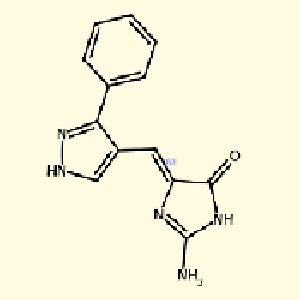 NC1=N/C(=C\c2c[nH]nc2-c2ccccc2)C(=O)N1